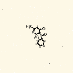 Cc1cc(Cl)c(C(=O)c2ccccc2)c(C)n1